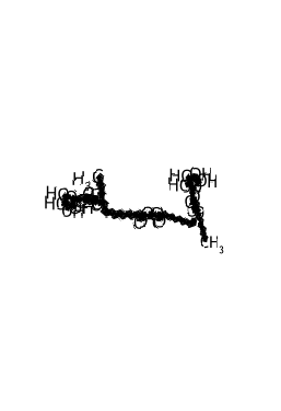 CCCCCC[C@@H](C/C=C\CCCCCCCC(=O)OCOC(=O)CCCCCCC/C=C\C[C@@H](CCCCCC)OC(=O)CC(=O)OCC1OC(O)C(O)C(O)C1O)OC(=O)CC(=O)OCC1OC(O)C(O)C(O)C1O